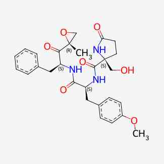 COc1ccc(C[C@H](NC(=O)[C@@]2(CO)CCC(=O)N2)C(=O)N[C@@H](Cc2ccccc2)C(=O)[C@@]2(C)CO2)cc1